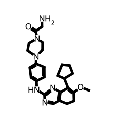 COC1=C(C2CCCC2)c2nc(Nc3ccc(N4CCN(C(=O)CN)CC4)cc3)ncc2CC1